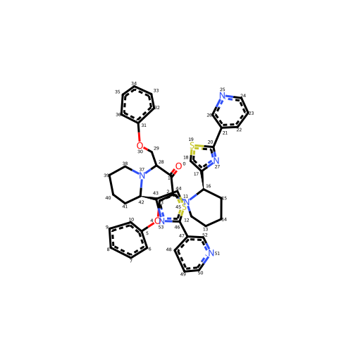 O=C(C(COc1ccccc1)N1CCCC[C@@H]1c1csc(-c2cccnc2)n1)C(COc1ccccc1)N1CCCC[C@@H]1c1csc(-c2cccnc2)n1